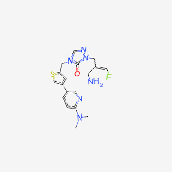 CN(C)c1ccc(-c2csc(Cn3cnn(C/C(=C/F)CN)c3=O)c2)cn1